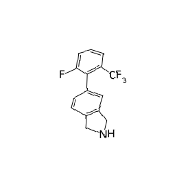 Fc1cccc(C(F)(F)F)c1-c1ccc2c(c1)CNC2